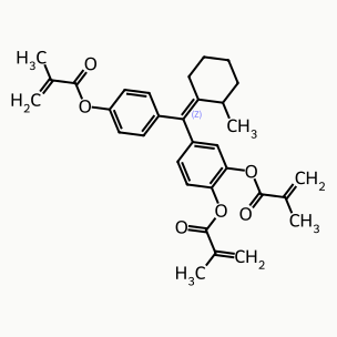 C=C(C)C(=O)Oc1ccc(/C(=C2\CCCCC2C)c2ccc(OC(=O)C(=C)C)c(OC(=O)C(=C)C)c2)cc1